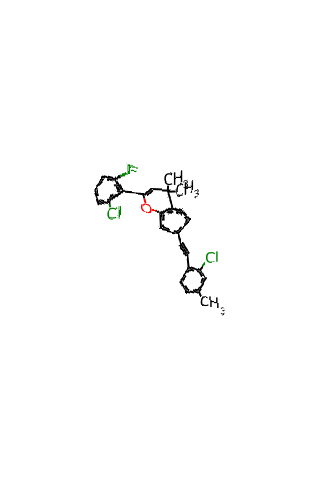 Cc1ccc(C#Cc2ccc3c(c2)OC(c2c(F)cccc2Cl)=CC3(C)C)c(Cl)c1